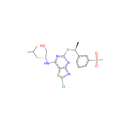 CC(C)C[C@H](CO)Nc1nc(S[C@@H](C)c2cccc(S(C)(=O)=O)c2)nc2nc(Cl)sc12